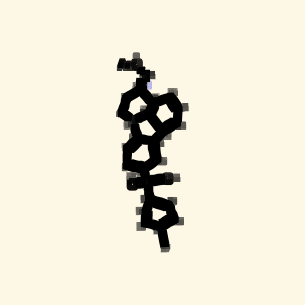 CC(=O)O/N=C1\CCn2c3ccc(S(=O)(=O)c4ccc(C)cc4)cc3c3cccc1c32